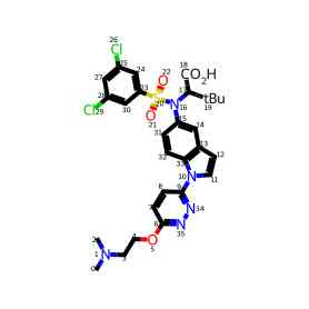 CN(C)CCOc1ccc(-n2ccc3cc(N(C(C(=O)O)C(C)(C)C)S(=O)(=O)c4cc(Cl)cc(Cl)c4)ccc32)nn1